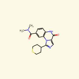 CN(C)C(=O)c1ccc2[nH]c(=O)c3cnc(C4CCSCC4)n3c2c1